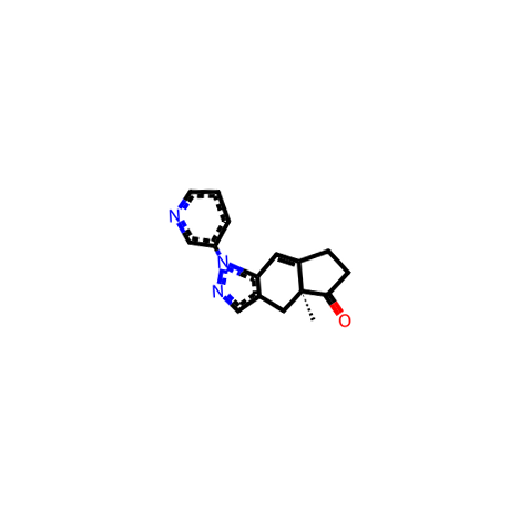 C[C@]12Cc3cnn(-c4cccnc4)c3C=C1CCC2=O